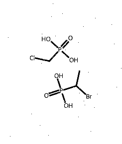 CC(Br)P(=O)(O)O.O=P(O)(O)CCl